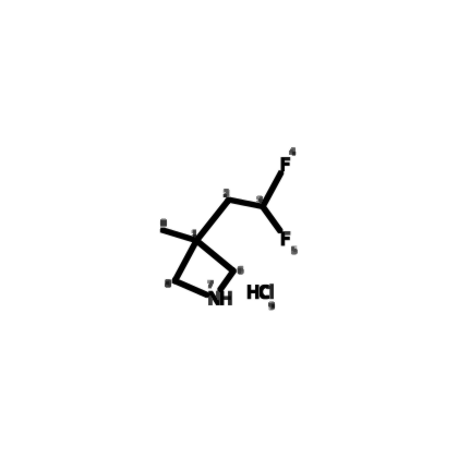 CC1(CC(F)F)CNC1.Cl